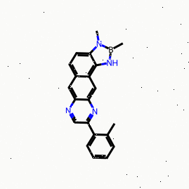 CB1Nc2c(ccc3cc4ncc(-c5ccccc5C)nc4cc23)N1C